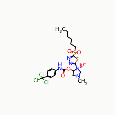 CCCCCCS(=O)(=O)c1nnc([N+]2([O-])CN(C)CC2OC(=O)Nc2ccc(C(Cl)(Cl)Cl)cc2)s1